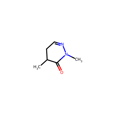 CC1CC=NN(C)C1=O